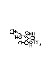 CC1CCCCN1CCCC(O)CSc1c(-c2cc(Cl)ccc2O)c2cc(C(F)(F)F)ccc2[nH]c1=O